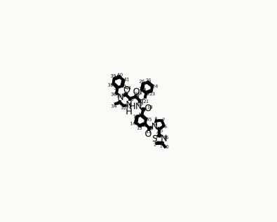 Cc1csc(C2CCCN2C(=O)c2cccc(C(=O)N[C@@H](Cc3ccccc3)[C@H](O)C3NCC(C)N(Cc4ccccc4)C3=O)c2)n1